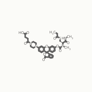 CCC(=O)SC[C@@H](C(=O)NC)N(C)C(=O)Oc1ccc2c(c1)Oc1cc(N3CCN(C(=O)CCC(=O)O)CC3)ccc1C21OC(=O)c2ccccc21